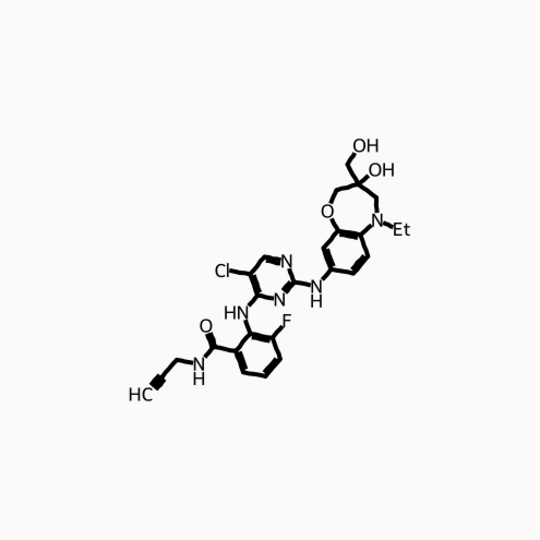 C#CCNC(=O)c1cccc(F)c1Nc1nc(Nc2ccc3c(c2)OCC(O)(CO)CN3CC)ncc1Cl